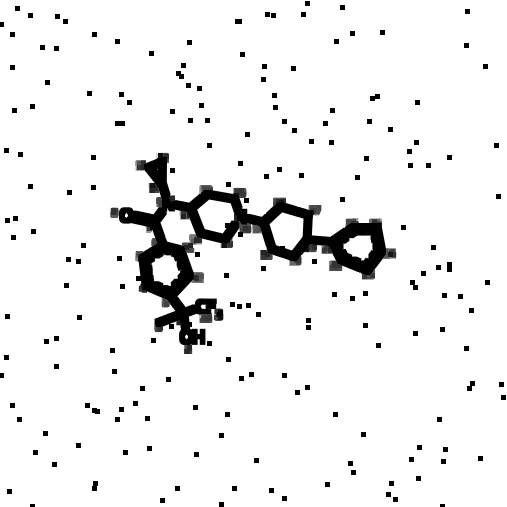 CC(O)(c1ccc(C(=O)N(C2CC2)C2CCN(C3CCC(c4ccccc4)CC3)CC2)cc1)C(F)(F)F